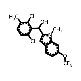 Cc1ccc(Cl)c(C(O)c2cc3ccc(OC(F)(F)F)cc3n2C)c1Cl